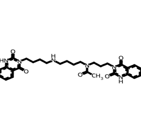 CC(=O)N(CCCCNCCCCn1c(=O)[nH]c2ccccc2c1=O)CCCn1c(=O)[nH]c2ccccc2c1=O